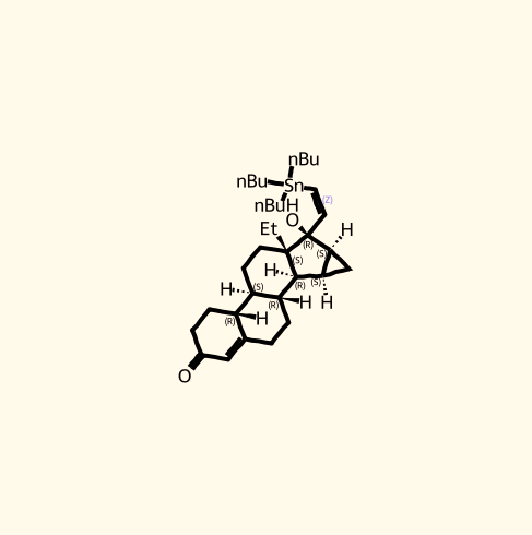 CCC[CH2][Sn](/[CH]=C\[C@]1(O)[C@H]2C[C@H]2[C@H]2[C@@H]3CCC4=CC(=O)CC[C@@H]4[C@H]3CC[C@@]21CC)([CH2]CCC)[CH2]CCC